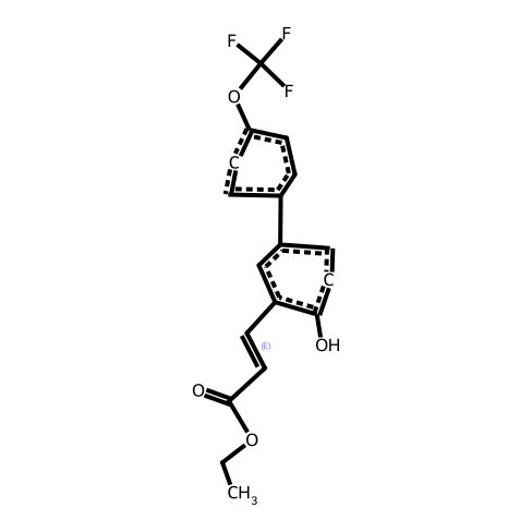 CCOC(=O)/C=C/c1cc(-c2ccc(OC(F)(F)F)cc2)ccc1O